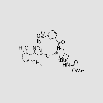 COC(=O)NC1CC(CN2C(=O)c3cccc(c3)S(=O)(=O)Nc3nc(cc(-c4c(C)cccc4C)n3)OC[C@H]2CC(C)(C)C)C1